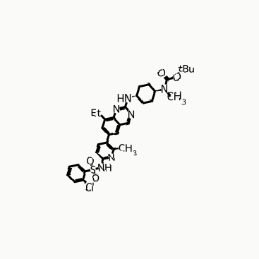 CCc1cc(-c2ccc(NS(=O)(=O)c3ccccc3Cl)nc2C)cc2cnc(N[C@H]3CC[C@H](N(C)C(=O)OC(C)(C)C)CC3)nc12